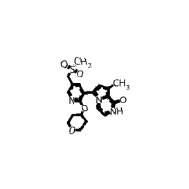 Cc1cc(-c2cc(CS(C)(=O)=O)cnc2OC2CCOCC2)n2cc[nH]c(=O)c12